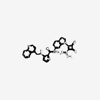 CN(C)c1c(N2CCc3ccc(NC(=O)c4sccc4NCc4ccnc5ccccc45)cc32)c(=O)c1=O